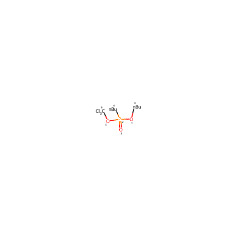 CCCCOP(=O)(CCCC)OC(Cl)(Cl)Cl